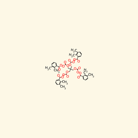 Cc1cccc(C(=O)OOC(=O)OCC(COC(=O)OOC(=O)c2cccc(C)c2C)(COC(=O)OOC(=O)c2cccc(C)c2C)COC(=O)OOC(=O)c2cccc(C)c2C)c1C